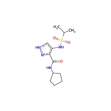 CC(C)S(=O)(=O)Nc1c[nH]nc1C(=O)NC1CCCC1